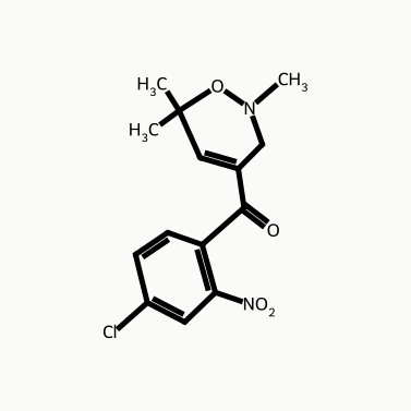 CN1CC(C(=O)c2ccc(Cl)cc2[N+](=O)[O-])=CC(C)(C)O1